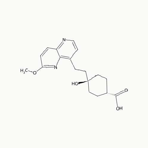 COc1ccc2nccc(CC[C@]3(O)CC[C@H](C(=O)O)CC3)c2n1